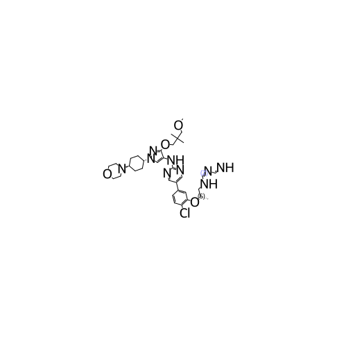 COCC(C)(C)COc1nn([C@H]2CC[C@H](N3CCOCC3)CC2)cc1Nc1ncc(-c2ccc(Cl)c(O[C@@H](C)CN/C=N\C=N)c2)cn1